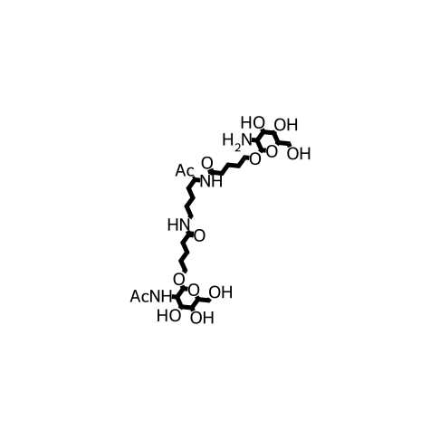 CC(=O)NC1C(OCCCCC(=O)NCCCC[C@H](NC(=O)CCCCOC2OC(CO)C(O)C(O)C2N)C(C)=O)OC(CO)C(O)C1O